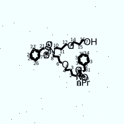 CCCN(CCCOCCCN(CCCOCCCO)S(=O)(=O)Cc1ccccc1)S(=O)(=O)Cc1ccccc1